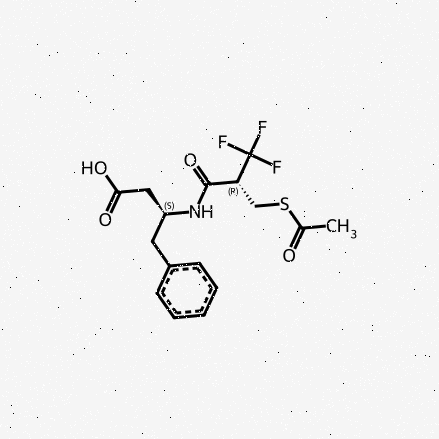 CC(=O)SC[C@H](C(=O)N[C@H](CC(=O)O)Cc1ccccc1)C(F)(F)F